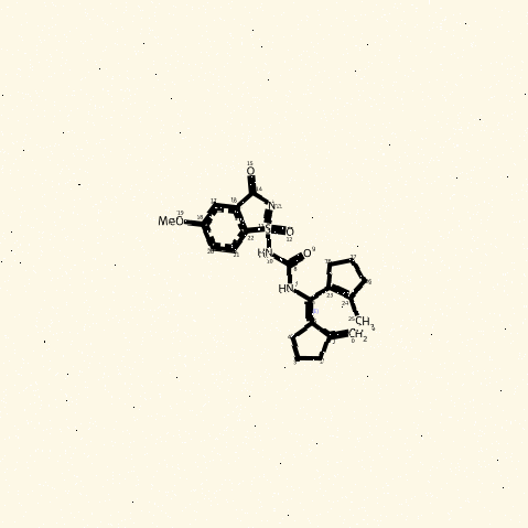 C=C1CCC/C1=C(\NC(=O)NS1(=O)=NC(=O)c2cc(OC)ccc21)C1=C(C)CCC1